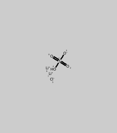 O=S(=O)([O-])O.[Cl-].[Li+].[Li+]